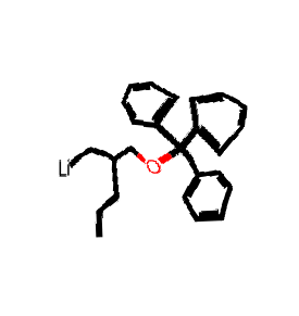 [Li][CH2]C(CCC)COC(c1ccccc1)(c1ccccc1)c1ccccc1